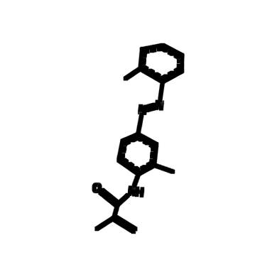 C=C(C)C(=O)Nc1ccc(N=Nc2ccccc2C)cc1C